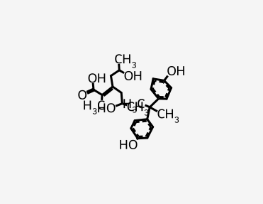 CC(C(=O)O)=C(CC(C)O)CC(C)O.CC(C)(c1ccc(O)cc1)c1ccc(O)cc1